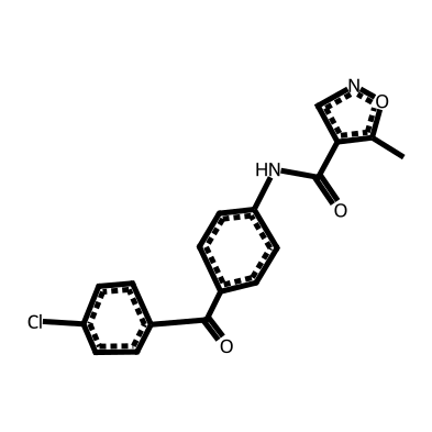 Cc1oncc1C(=O)Nc1ccc(C(=O)c2ccc(Cl)cc2)cc1